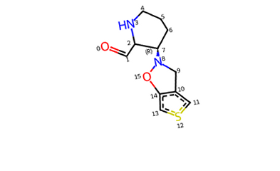 O=CC1NCCC[C@H]1N1Cc2cscc2O1